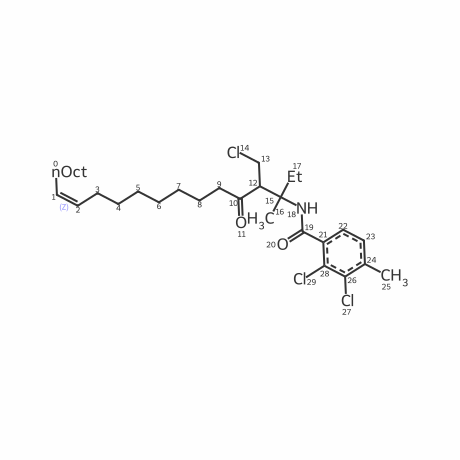 CCCCCCCC/C=C\CCCCCCCC(=O)C(CCl)C(C)(CC)NC(=O)c1ccc(C)c(Cl)c1Cl